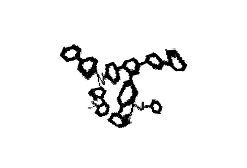 c1ccc(-c2ccc(-c3ccc(-c4ccc(N(c5ccc(-c6ccccc6)cc5)c5ccc6sc7ccccc7c6c5)cc4)c(-c4ccc5c6ccccc6n(-c6ccccc6)c5c4)c3)cc2)cc1